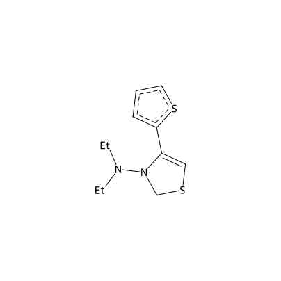 CCN(CC)N1CSC=C1c1cccs1